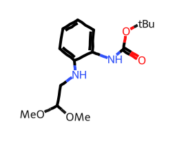 COC(CNc1ccccc1NC(=O)OC(C)(C)C)OC